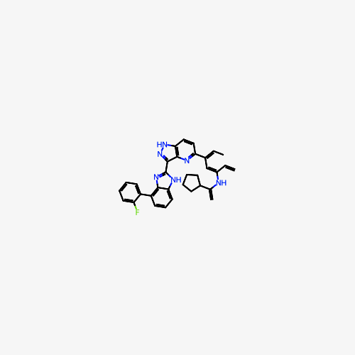 C=C/C(=C\C(=C/C)c1ccc2[nH]nc(-c3nc4c(-c5ccccc5F)cccc4[nH]3)c2n1)NC(=C)C1CCCC1